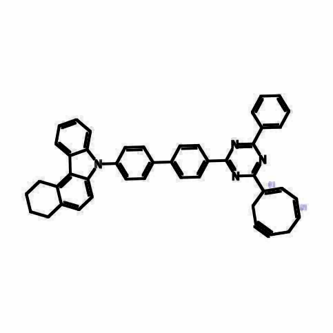 C1#CC/C(c2nc(-c3ccccc3)nc(-c3ccc(-c4ccc(-n5c6ccccc6c6c7c(ccc65)CCCC7)cc4)cc3)n2)=C\C=C/C1